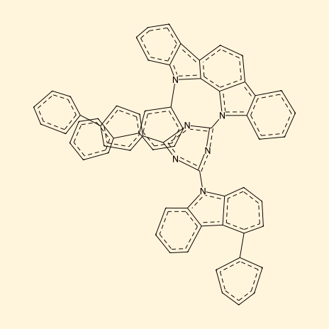 c1ccc(-c2ccc(-c3nc(-n4c5ccccc5c5c(-c6ccccc6)cccc54)nc(-n4c5ccccc5c5ccc6c7ccccc7n(-c7cccc(-c8ccccc8)c7)c6c54)n3)cc2)cc1